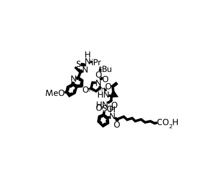 C=CC1CC1(NC(=O)[C@@H]1C[C@@H](Oc2cc(-c3csc(NC(C)C)n3)nc3cc(OC)ccc23)CN1C(=O)OC(C)(C)C)C(=O)NS(=O)(=O)c1ccccc1NC(=O)CCCCCCCCC(=O)O